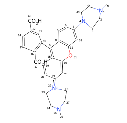 CN1CCN(c2ccc3c(-c4cc(C(=O)O)ccc4C(=O)O)c4ccc(=[N+]5CCN(C)CC5)cc-4oc3c2)CC1